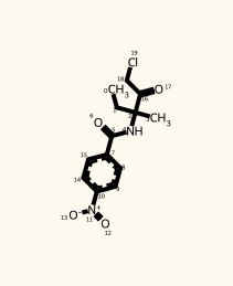 CCC(C)(NC(=O)c1ccc([N+](=O)[O-])cc1)C(=O)CCl